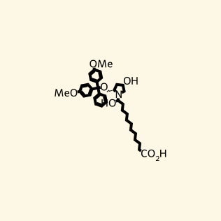 COc1ccc(C(OC[C@@H]2C[C@@H](O)CN2C(O)CCCCCCCCCCC(=O)O)(c2ccccc2)c2ccc(OC)cc2)cc1